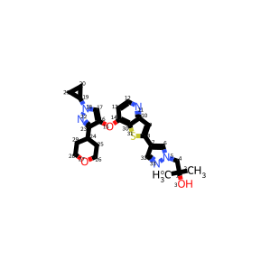 CC(C)(O)Cn1cc(-c2cc3nccc(Oc4cn(C5CC5)nc4C4CCOCC4)c3s2)cn1